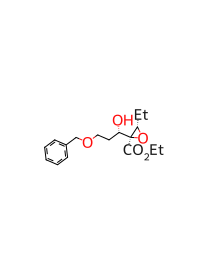 CCOC(=O)[C@@]1([C@@H](O)CCOCc2ccccc2)O[C@H]1CC